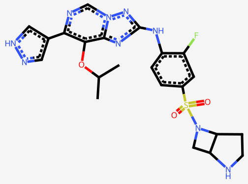 CC(C)Oc1c(-c2cn[nH]c2)ncn2nc(Nc3ccc(S(=O)(=O)N4CC5NCCC54)cc3F)nc12